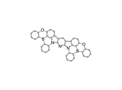 c1ccc2c(c1)Oc1ccc3c4cc5c6ccc7c8c6n(c5nc4n4c3c1B2c1ccccc1-4)-c1ccccc1B8c1ccccc1O7